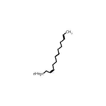 CC=CCCCCCCC/C=C\CCCCCCCC